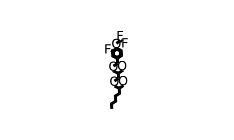 CCCCCC1COC(C2COC(c3ccc(OC(F)F)c(F)c3)OC2)OC1